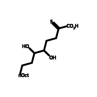 CCCCCCCCCCC(O)C(O)CCC(=S)C(=O)O